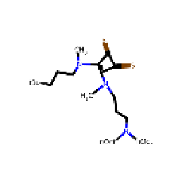 CCCCCCCCN(CCCCCCCC)CCCN(C)c1c(N(C)CCCC(C)(C)C)c(=S)c1=S